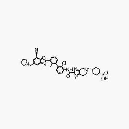 Cc1c(-c2nc3cc(CN4CCCC4)cc(C#N)c3o2)cccc1-c1cccc(NC(=O)c2nc3c(n2C)CCN(C[C@H]2CC[C@@H](C(=O)O)CC2)C3)c1Cl